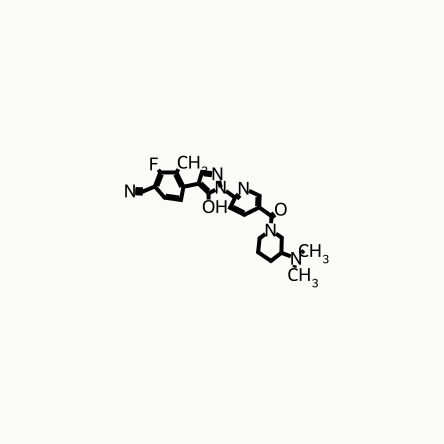 Cc1c(-c2cnn(-c3ccc(C(=O)N4CCCC(N(C)C)C4)cn3)c2O)ccc(C#N)c1F